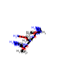 CC(COC(C)(C)CCN(CCCCCNC(=O)CC[C@H](NC(=O)c1ccc(N(C)Cc2cnc3nc(N)nc(N)c3n2)cc1)C(=O)OCC[Si](C)(C)C)CCCCCNC(=O)CC[C@H](NC(=O)c1ccc(N(C)Cc2cnc3nc(N)nc(N)c3n2)cc1)C(=O)OCC[Si](C)(C)C)OCCOCCOCCN